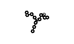 c1ccc(-c2ccc(-c3ccc(N(c4ccc(-c5cccc(-c6cccc7ccccc67)c5)cc4)c4cccc(-c5cccc6oc7c8ccccc8ccc7c56)c4)cc3)cc2)cc1